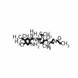 C=CC(=O)N1CC(NC(=O)c2c(C)nc(CNC(=N)c3cc(C(C)(C)C)c(Cl)cc3N)n2C(C)C)C1